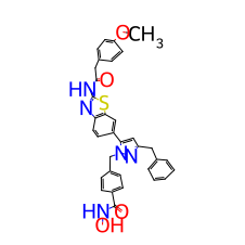 COc1ccc(CC(=O)Nc2nc3ccc(-c4cc(Cc5ccccc5)nn4Cc4ccc(C(=O)NO)cc4)cc3s2)cc1